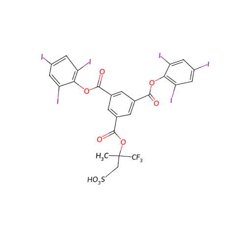 CC(CS(=O)(=O)O)(OC(=O)c1cc(C(=O)Oc2c(I)cc(I)cc2I)cc(C(=O)Oc2c(I)cc(I)cc2I)c1)C(F)(F)F